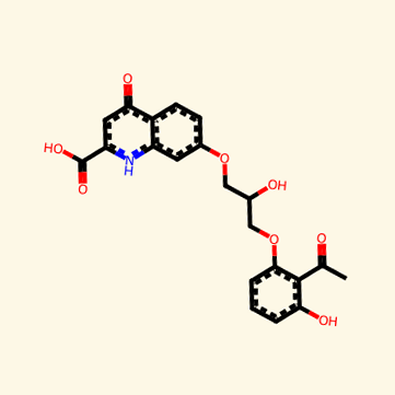 CC(=O)c1c(O)cccc1OCC(O)COc1ccc2c(=O)cc(C(=O)O)[nH]c2c1